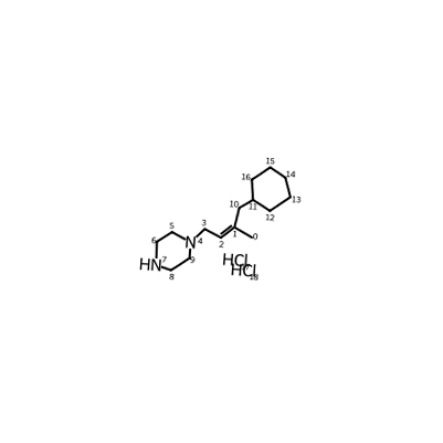 CC(=CCN1CCNCC1)CC1CCCCC1.Cl.Cl